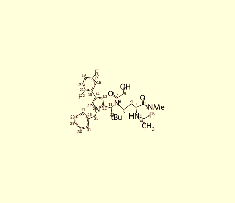 CNC(=O)C(CCN(C(=O)CO)C(c1cc(-c2cc(F)ccc2F)cn1Cc1ccccc1)C(C)(C)C)NC(C)I